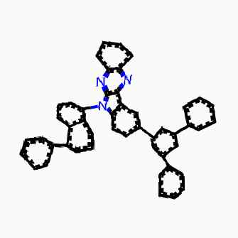 c1ccc(-c2cc(-c3ccccc3)cc(-c3ccc4c(c3)c3nc5ccccc5nc3n4-c3cccc4c(-c5ccccc5)cccc34)c2)cc1